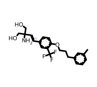 Cc1cccc(CCCOc2ccc(/C=C/C(N)(CO)CO)cc2C(F)(F)F)c1